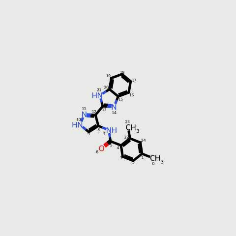 Cc1ccc(C(=O)Nc2c[nH]nc2-c2nc3ccccc3[nH]2)c(C)c1